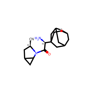 N#C[C@@H]1CC2CC2N1C(=O)[C@@H](N)C12CCC3CC(CC(C3)C1)C2